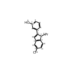 CC(C)n1c(-c2ccc[n+](O)c2)cc2cc(Cl)ccc21